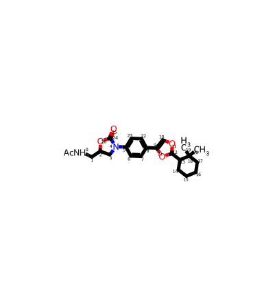 CC(=O)NCC1CN(c2ccc(C3=COC(C4CCCCC4(C)C)O3)cc2)C(=O)O1